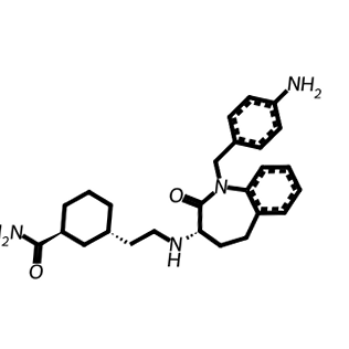 NC(=O)[C@H]1CCC[C@H](CCN[C@H]2CCc3ccccc3N(Cc3ccc(N)cc3)C2=O)C1